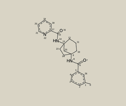 Cc1cccc(C(=O)NC23CCCC(NC(=O)c4ccccn4)(CC2)C3)c1